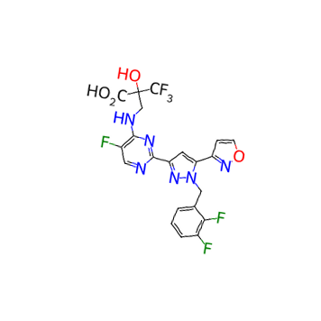 O=C(O)C(O)(CNc1nc(-c2cc(-c3ccon3)n(Cc3cccc(F)c3F)n2)ncc1F)C(F)(F)F